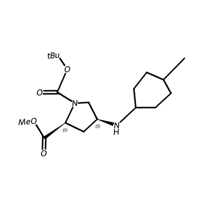 COC(=O)[C@@H]1C[C@H](NC2CCC(C)CC2)CN1C(=O)OC(C)(C)C